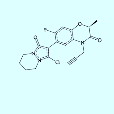 C#CCN1C(=O)[C@H](C)Oc2cc(F)c(-c3c(Cl)n4n(c3=O)CCCC4)cc21